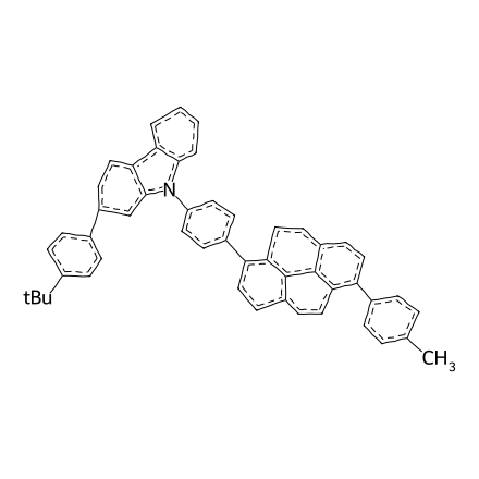 Cc1ccc(-c2ccc3ccc4c(-c5ccc(-n6c7ccccc7c7ccc(-c8ccc(C(C)(C)C)cc8)cc76)cc5)ccc5ccc2c3c54)cc1